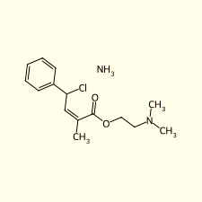 CC(=CC(Cl)c1ccccc1)C(=O)OCCN(C)C.N